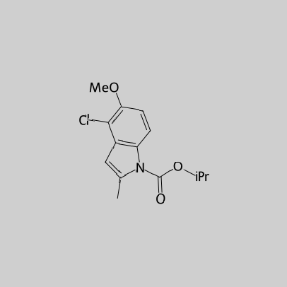 COc1ccc2c(cc(C)n2C(=O)OC(C)C)c1Cl